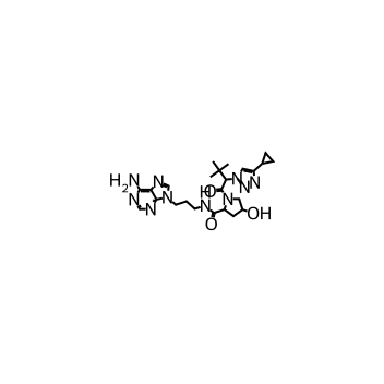 CC(C)(C)C(C(=O)N1CC(O)CC1C(=O)NCCCn1cnc2c(N)ncnc21)n1cc(C2CC2)nn1